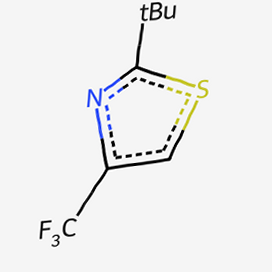 CC(C)(C)c1nc(C(F)(F)F)cs1